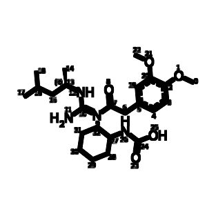 COc1ccc(CC(=O)N=C(N)N[C@H](C)CC(C)C)cc1OC.O=C(O)NC1CCCCC1